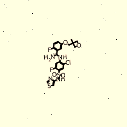 CC1(COc2ccc(F)c([C@H](N)Nc3cc(F)c(S(=O)(=O)Nc4cscn4)cc3Cl)c2)COC1